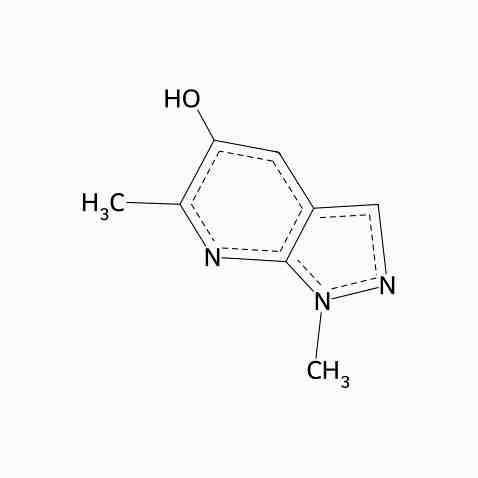 Cc1nc2c(cnn2C)cc1O